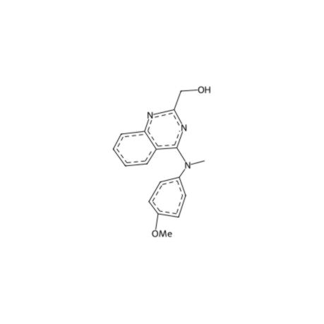 COc1ccc(N(C)c2nc(CO)nc3ccccc23)cc1